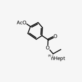 CCCCCCC[C@@H](C)OC(=O)c1ccc(OC(C)=O)cc1